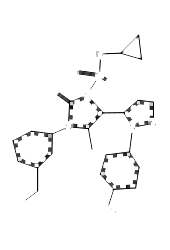 Cc1c(-c2ccnn2-c2ccc(C#N)cc2)n(S(=O)(=O)NC2CC2)c(=O)n1-c1cccc(CF)c1